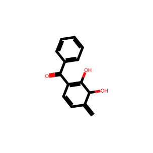 C=C1C=CC(C(=O)c2ccccc2)=C(O)C1O